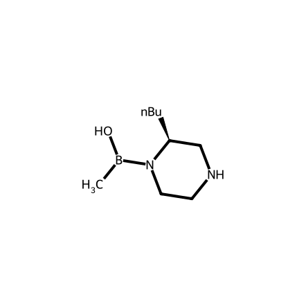 CCCC[C@H]1CNCCN1B(C)O